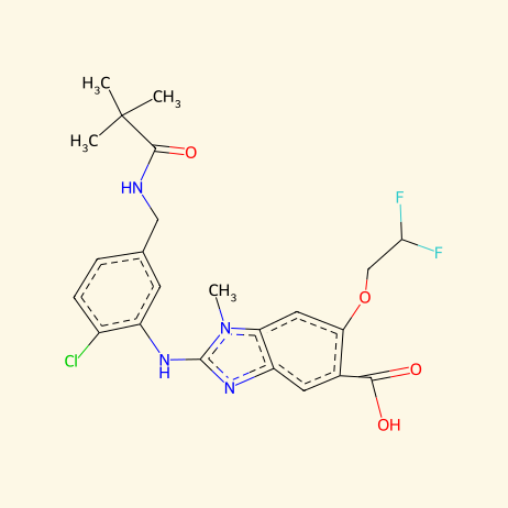 Cn1c(Nc2cc(CNC(=O)C(C)(C)C)ccc2Cl)nc2cc(C(=O)O)c(OCC(F)F)cc21